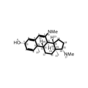 CNC1=CC2=C[C@@H](O)C=C[C@]2(C)[C@H]2CC[C@]3(C)[C@@H](NC)CC[C@H]3[C@H]12